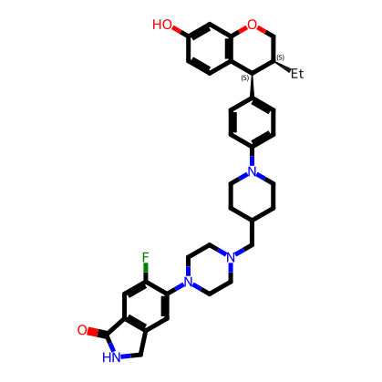 CC[C@@H]1COc2cc(O)ccc2[C@@H]1c1ccc(N2CCC(CN3CCN(c4cc5c(cc4F)C(=O)NC5)CC3)CC2)cc1